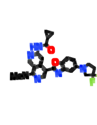 CNc1ncc(-c2nc3cc(N4CCC(F)(F)C4)ccc3o2)c2cc(NC(=O)C3CC3)ncc12